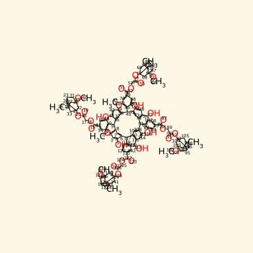 COc1cc(O)c2cc1C(c1ccc(C(=O)OCC(=O)OC34CC5CC(C)(CC(OC)(C5)C3)C4)cc1)c1cc(c(OC)cc1O)C(c1ccc(C(=O)OCC(=O)OC34CC5CC(C)(CC(OC)(C5)C3)C4)cc1)c1cc(c(CO)cc1O)C(c1ccc(C(=O)OCC(=O)OC34CC5CC(C)(CC(OC)(C5)C3)C4)cc1)c1cc(c(CO)cc1O)C2c1ccc(C(=O)OCC(=O)OC23CC4CC(C)(CC(OC)(C4)C2)C3)cc1